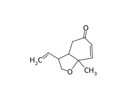 C=CC1COC2(C)C=CC(=O)CC12